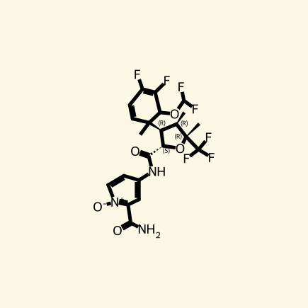 C[C@@H]1[C@H](C2(C)C=CC(F)=C(F)C2OC(F)F)[C@@H](C(=O)Nc2cc[n+]([O-])c(C(N)=O)c2)O[C@@]1(C)C(F)(F)F